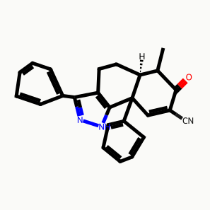 CC1C(=O)C(C#N)=CC2(c3ccccc3)c3[nH]nc(-c4ccccc4)c3CC[C@@H]12